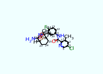 Cc1cc(Cl)cnc1C(=O)Nc1ccc(F)c([C@@]2(C)N=C(N)[C@H]3CCC[C@H]2S3(=O)=O)c1